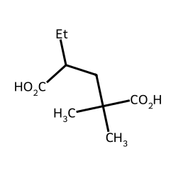 CCC(CC(C)(C)C(=O)O)C(=O)O